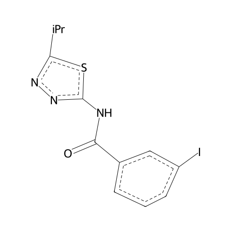 CC(C)c1nnc(NC(=O)c2cccc(I)c2)s1